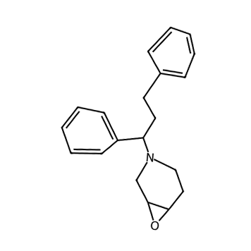 c1ccc(CCC(c2ccccc2)N2CCC3OC3C2)cc1